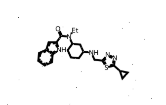 CCN(C(=O)c1cc2ccccc2[nH]1)C1CCCC(NCc2nnc(C3CC3)s2)C1